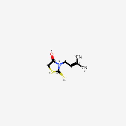 N#CC(C#N)=CCN1C(=O)CSC1=S